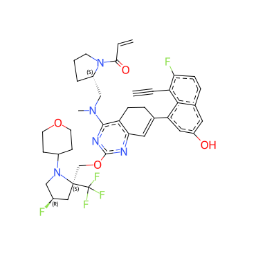 C#Cc1c(F)ccc2cc(O)cc(C3=Cc4nc(OC[C@]5(C(F)(F)F)C[C@@H](F)CN5C5CCOCC5)nc(N(C)C[C@@H]5CCCN5C(=O)C=C)c4CC3)c12